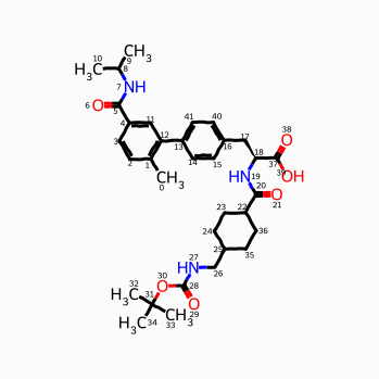 Cc1ccc(C(=O)NC(C)C)cc1-c1ccc(C[C@H](NC(=O)C2CCC(CNC(=O)OC(C)(C)C)CC2)C(=O)O)cc1